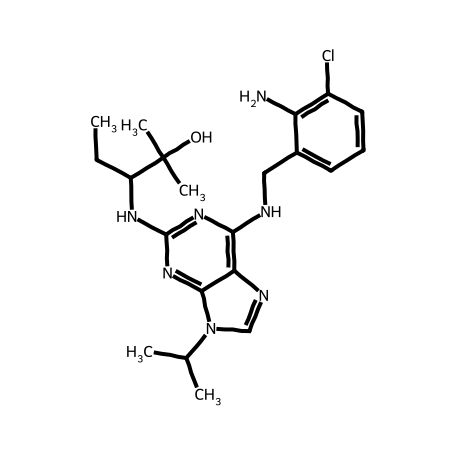 CCC(Nc1nc(NCc2cccc(Cl)c2N)c2ncn(C(C)C)c2n1)C(C)(C)O